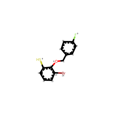 Fc1ccc(COc2c(S)cccc2Br)cc1